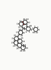 c1ccc(-c2ccc(N(c3ccccc3)c3ccc(-c4ccc5ccc6cc7cccnc7c7ccc4c5c67)cc3)c(-c3ccccc3)c2)cc1